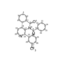 O=C(c1ccccc1)N(C(=O)c1ccccc1)c1cccnc1-c1cccc(C(F)(F)F)c1